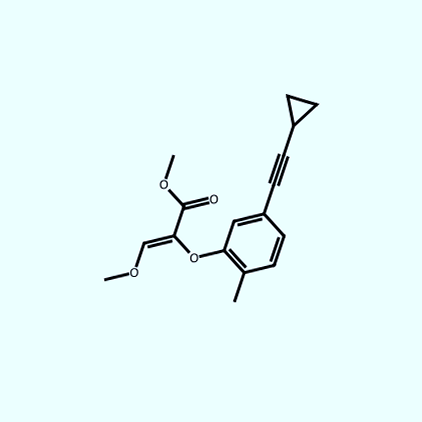 CO/C=C(\Oc1cc(C#CC2CC2)ccc1C)C(=O)OC